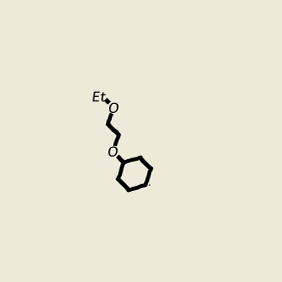 CCOCCOC1CC[CH]CC1